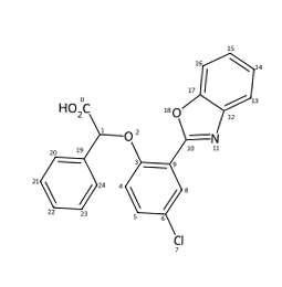 O=C(O)C(Oc1ccc(Cl)cc1-c1nc2ccccc2o1)c1ccccc1